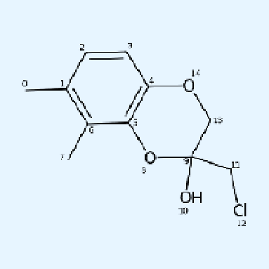 Cc1ccc2c(c1C)OC(O)(CCl)CO2